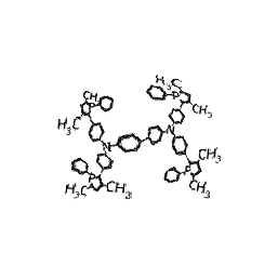 Cc1cc(C)p(-c2ccccc2)c1-c1ccc(N(c2ccc(-c3ccc(N(c4ccc(-c5c(C)cc(C)p5-c5ccccc5)cc4)c4ccc(-c5c(C)cc(C)p5-c5ccccc5)cc4)cc3)cc2)c2ccc(-c3c(C)cc(C)p3-c3ccccc3)cc2)cc1